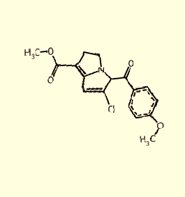 COC(=O)C1=C2C=C(Cl)C(C(=O)c3ccc(OC)cc3)N2CC1